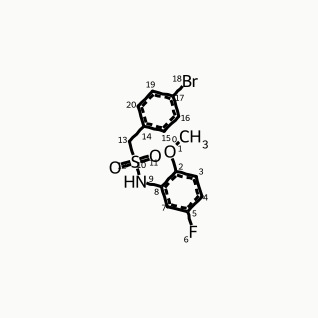 COc1ccc(F)cc1NS(=O)(=O)Cc1ccc(Br)cc1